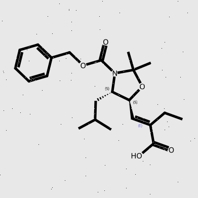 CC/C(=C\[C@@H]1OC(C)(C)N(C(=O)OCc2ccccc2)[C@H]1CC(C)C)C(=O)O